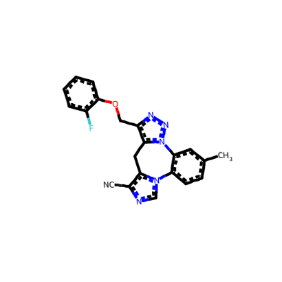 Cc1ccc2c(c1)-n1nnc(COc3ccccc3F)c1Cc1c(C#N)ncn1-2